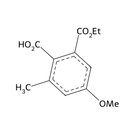 CCOC(=O)c1cc(OC)cc(C)c1C(=O)O